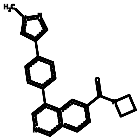 Cn1cc(-c2ccc(-c3cncc4ccc(C(=O)N5CCC5)cc34)cc2)cn1